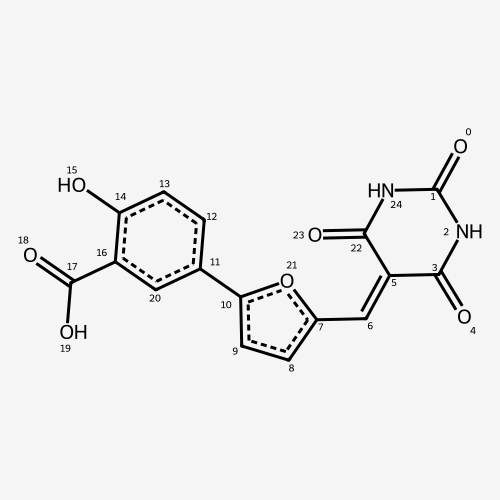 O=C1NC(=O)C(=Cc2ccc(-c3ccc(O)c(C(=O)O)c3)o2)C(=O)N1